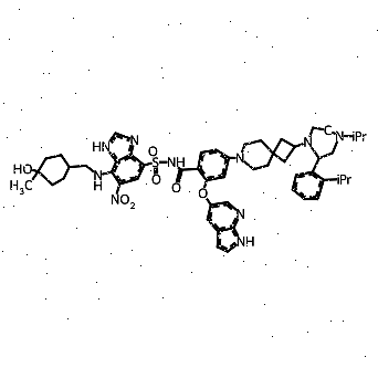 CC(C)c1ccccc1C1CN(C(C)C)CCN1C1CC2(CCN(c3ccc(C(=O)NS(=O)(=O)c4cc([N+](=O)[O-])c(NCC5CCC(C)(O)CC5)c5[nH]cnc45)c(Oc4cnc5[nH]ccc5c4)c3)CC2)C1